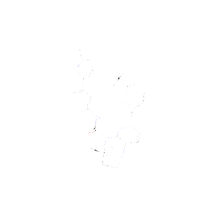 Cc1nc(-c2cccc(NC(=O)N3c4nc(-c5cccc(C(F)(F)F)c5)ccc4N4CC[C@H]3C4)c2)cs1